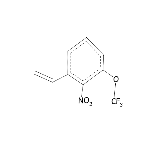 C=Cc1cccc(OC(F)(F)F)c1[N+](=O)[O-]